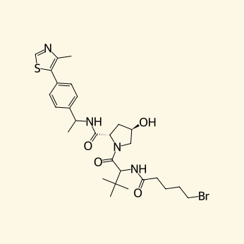 Cc1ncsc1-c1ccc(C(C)NC(=O)[C@@H]2C[C@@H](O)CN2C(=O)C(NC(=O)CCCCBr)C(C)(C)C)cc1